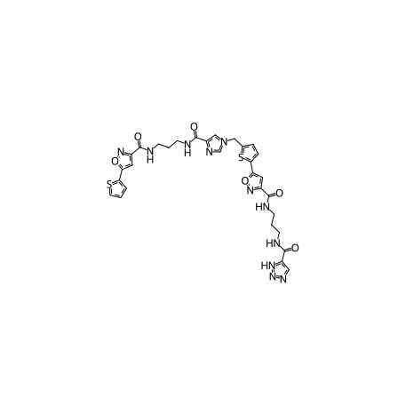 O=C(NCCCNC(=O)c1cc(-c2cccs2)on1)c1cn(Cc2ccc(-c3cc(C(=O)NCCCNC(=O)c4cnn[nH]4)no3)s2)cn1